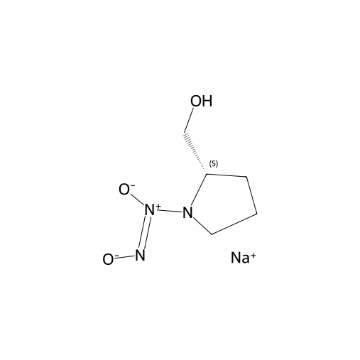 [Na+].[O-]N=[N+]([O-])N1CCC[C@H]1CO